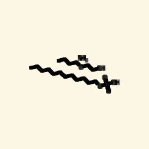 CCCCCCCCCCCCOS(=O)(=O)O.CCCCOCCO.N